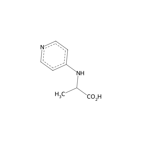 CC(Nc1ccncc1)C(=O)O